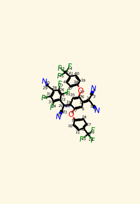 N#CC(C#N)=c1cc(Oc2ccc(C(F)(F)F)cc2)/c(=C(\C#N)c2c(F)c(F)c(C#N)c(F)c2F)cc1Oc1ccc(C(F)(F)F)cc1